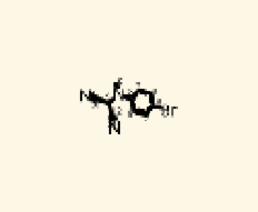 CN(c1ccc(Br)cc1)C(C#N)C#N